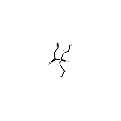 C=CCC(=O)P(=O)(OCC)OCC